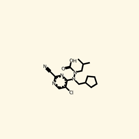 CC(C)CN(C(=O)O)N(CC1CCCC1)c1nc(C#N)ncc1Cl